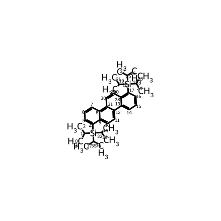 CC(C)[Si](c1cccc2c1ccc1c3cccc([Si](C(C)C)(C(C)C)C(C)C)c3ccc21)(C(C)C)C(C)C